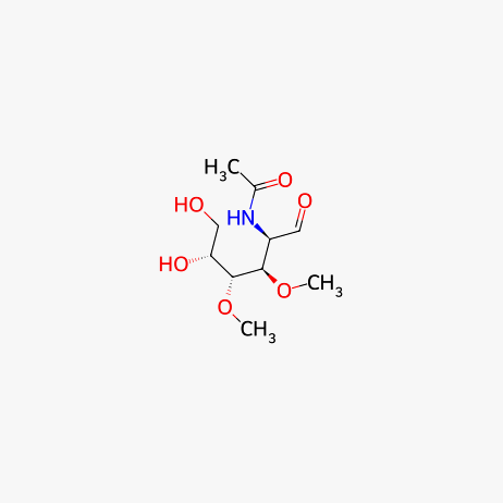 CO[C@@H]([C@H](OC)[C@H](C=O)NC(C)=O)[C@H](O)CO